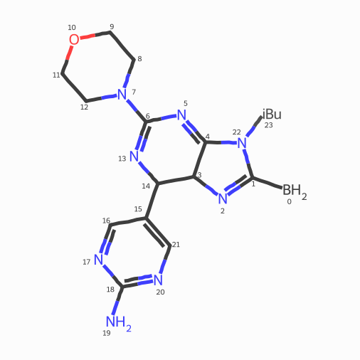 BC1=NC2C(=NC(N3CCOCC3)=NC2c2cnc(N)nc2)N1C(C)CC